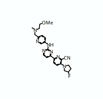 COCCN(C)Cc1ccc(Nc2nccc(-c3ccc(N4CCC(F)C4)c(C#N)n3)n2)cn1